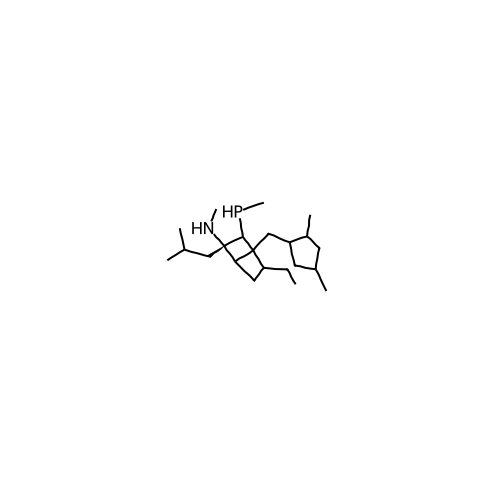 CCC1CC2C1(CC1CC(C)CC1C)C(PC)[C@@]2(CC(C)C)NC